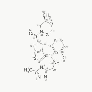 Cc1nnc2n1-c1sc3c(c1[C@H](c1ccccc1Cl)NC2)C[C@H](C(=O)N1CCO[C@H](C)C1)C3